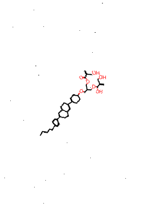 C=C(CO)C(=O)OCC(COC1CCC(C2CCC3CC(c4ccc(CCCCC)cc4)CCC3C2)CC1)COC(O)C(=C)CO